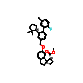 COC(=O)[C@@H]1CC[C@@]12CCc1ccc(OCc3ccc(-c4cc(C)ccc4F)c([C@@H]4CCCC4(C)C)c3)cc12